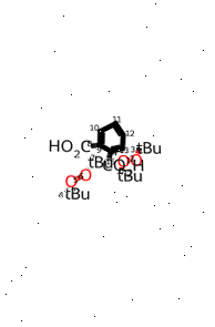 CC(C)(C)OOC(C)(C)C.CC(C)(C)OOC(C)(C)C.O=C(O)c1ccccc1C(=O)O